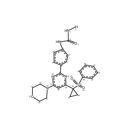 CCNC(=O)Nc1ccc(-c2nc(N3CCOCC3)cc(C3(S(=O)(=O)c4ccccc4)CC3)n2)cc1